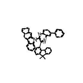 CC1(C)c2ccccc2-c2c(-c3nc4cc(-c5ccccc5)ccc4nc3-n3c4ccccc4c4cc5ccccc5cc43)cccc21